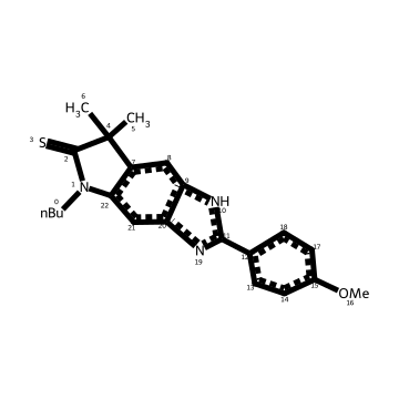 CCCCN1C(=S)C(C)(C)c2cc3[nH]c(-c4ccc(OC)cc4)nc3cc21